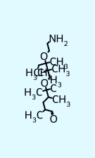 CCC(C)(OCCN)C(C)(C)COC(C)(C)C(C)CC(C)C=O